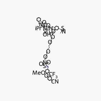 COc1cc(/C=C2\SC(=O)N(CCOCCOCCCCOCCOCCOc3cc(-c4scnc4C)ccc3CNC(=O)[C@@H]3C[C@@H](O)CN3C(=O)[C@H](C(C)C)N3Cc4ccccc4C3=O)C2=O)ccc1Oc1ccc(C#N)cc1C(F)(F)F